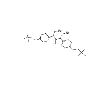 CC(C)(C)CCN1CCN(C(CBr)C(=O)C(CBr)N2CCN(CCC(C)(C)C)CC2)CC1